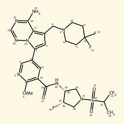 COc1ncc(-c2cc(CN3CCC(F)(F)CC3)c3c(N)ncnn23)cc1C(=O)N[C@@H]1CN(S(=O)(=O)C(C)C(F)(F)F)C[C@@H]1F